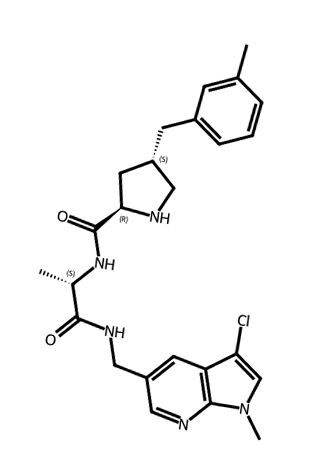 Cc1cccc(C[C@@H]2CN[C@@H](C(=O)N[C@@H](C)C(=O)NCc3cnc4c(c3)c(Cl)cn4C)C2)c1